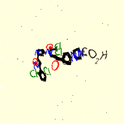 O=C(CCN(C(=O)C(Cl)Cl)c1ccnc(-c2cc(-c3c(Cl)cccc3Cl)no2)c1)c1ccc(N2CCN(C(=O)O)CC2)cc1